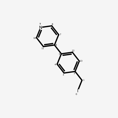 ICc1ccc(-c2ccncc2)cc1